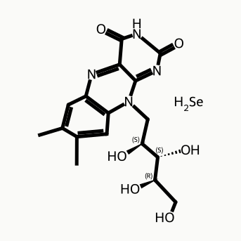 Cc1cc2nc3c(=O)[nH]c(=O)nc-3n(C[C@H](O)[C@H](O)[C@H](O)CO)c2cc1C.[SeH2]